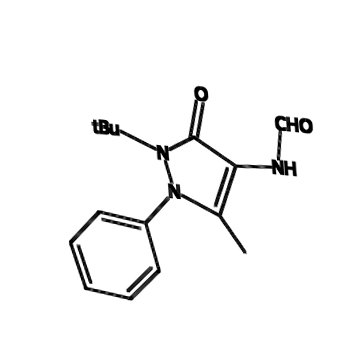 Cc1c(NC=O)c(=O)n(C(C)(C)C)n1-c1ccccc1